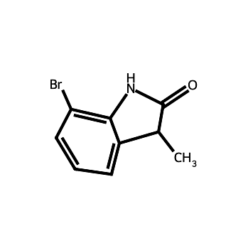 CC1C(=O)Nc2c(Br)cccc21